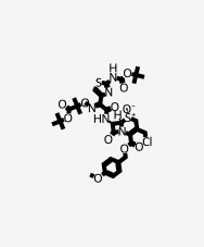 COc1ccc(COC(=O)C2=C(CCl)C[S@@+]([O-])[C@@H]3[C@H](NC(=O)C(=NOC(C)(C)C(=O)OC(C)(C)C)c4csc(NC(=O)OC(C)(C)C)n4)C(=O)N23)cc1